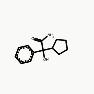 NC(=O)C(O)(c1ccccc1)C1CCCC1